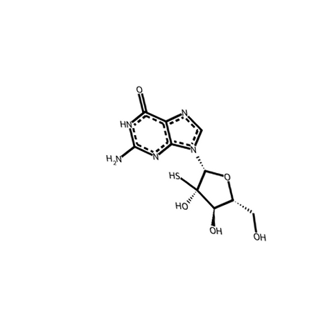 Nc1nc2c(ncn2[C@@H]2O[C@H](CO)[C@@H](O)[C@@]2(O)S)c(=O)[nH]1